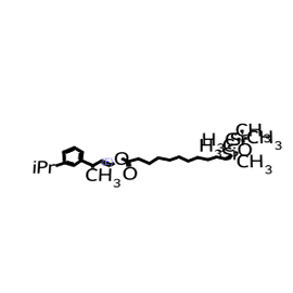 CC(C)c1cccc(C(C)/C=C/OC(=O)CCCCCCCCCC[Si](C)(C)O[Si](C)(C)C)c1